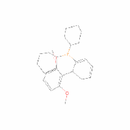 COc1cccc(OC)c1C1CC=CC=C1P(C1CCCCC1)C1CCCCC1